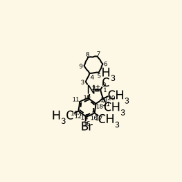 CC1=[N+](CC2CCCCC2)c2cc(C)c(Br)c(C)c2C1(C)C